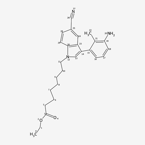 CCOC(=O)CCCCCCCn1cc(-c2cccc(N)c2C)c2cc(C#N)ccc21